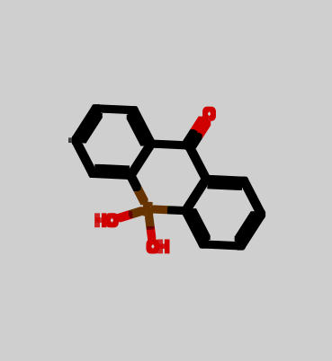 O=C1c2cc[c]cc2S(O)(O)c2ccccc21